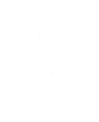 O=C=C1CC=C(Br)O1